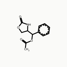 CC(=O)OC(c1ccccc1)C1COC(=O)N1